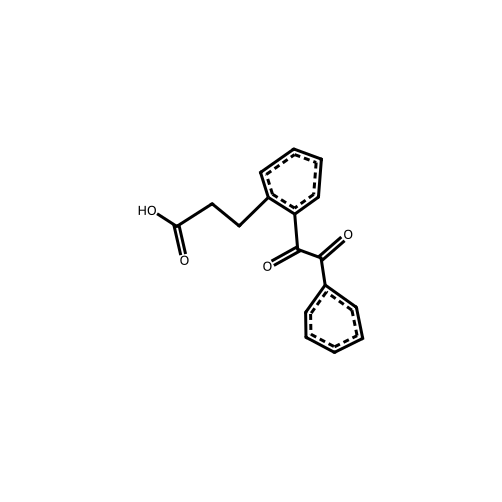 O=C(O)CCc1ccccc1C(=O)C(=O)c1ccccc1